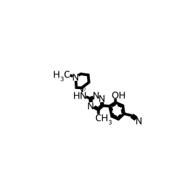 Cc1nc(N[C@@H]2CCCN(C)C2)nnc1-c1ccc(C#N)cc1O